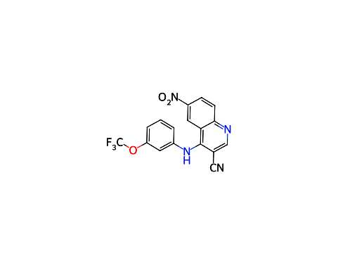 N#Cc1cnc2ccc([N+](=O)[O-])cc2c1Nc1cccc(OC(F)(F)F)c1